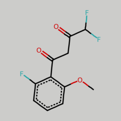 COc1cccc(F)c1C(=O)CC(=O)C(F)F